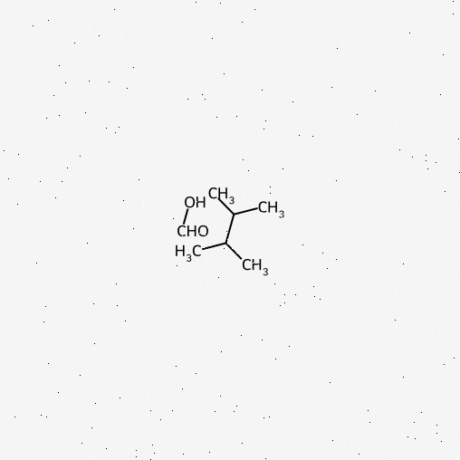 CC(C)C(C)C.O=CO